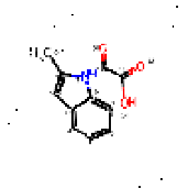 Cc1cc2ccccc2[nH]1.O=CC(=O)O